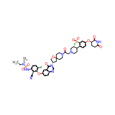 CCN(C)S(=O)(=O)Nc1ccc(F)c(Oc2ccc3ncn([C@@H]4COC5(CCN(C(=O)CN6CCC(c7ccc(OC8CCC(=O)NC8=O)cc7S(=O)(=O)F)CC6)CC5)C4)c(=O)c3c2)c1C#N